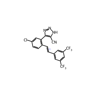 N#Cc1[nH]nnc1-c1cc(Cl)ccc1/C=C/c1cc(C(F)(F)F)cc(C(F)(F)F)c1